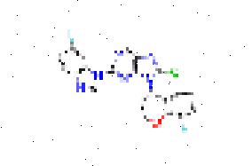 Fc1ccc2ncn(-c3ncc4nc(Cl)n([C@@H]5CCOc6c(F)cccc65)c4n3)c2c1